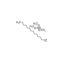 CCCCCCCCCCCCCC1CC1.CO[SiH](OC)OC